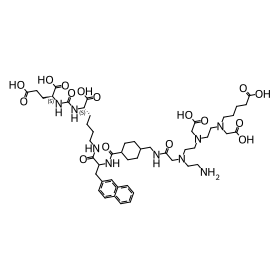 NCCN(CCN(CCN(CCCCC(=O)O)CC(=O)O)CC(=O)O)CC(=O)NCC1CCC(C(=O)NC(Cc2ccc3ccccc3c2)C(=O)NCCCC[C@H](NC(=O)N[C@@H](CCC(=O)O)C(=O)O)C(=O)O)CC1